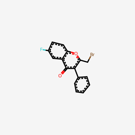 O=c1c(-c2ccccc2)c(CBr)oc2ccc(F)cc12